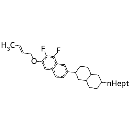 CC=CCOc1cc2ccc(C3CCC4CC(CCCCCCC)CCC4C3)cc2c(F)c1F